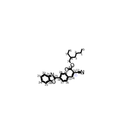 CCCCC(CC)COC(=O)/C(C#N)=C\c1ccc(-c2nc3ccccc3o2)cc1